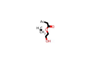 C=C.CC(=O)CC(=O)OCCO